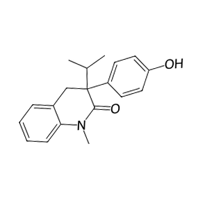 CC(C)C1(c2ccc(O)cc2)Cc2ccccc2N(C)C1=O